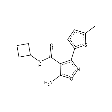 Cc1ccc(-c2noc(N)c2C(=O)NC2CCC2)s1